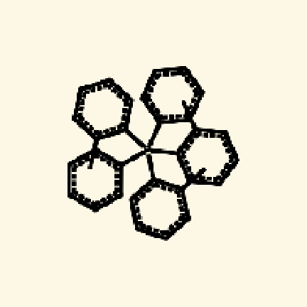 Cc1ccccc1P(c1ccccc1)(c1ccccc1)(c1ccccc1C)c1ccccc1C